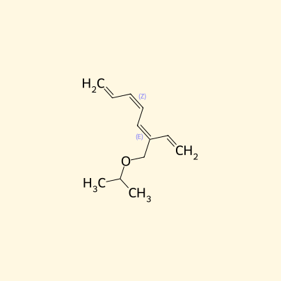 C=C/C=C\C=C(/C=C)COC(C)C